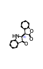 O=C1Oc2ccccc2/C1=C1\Nc2ccccc2C1=O